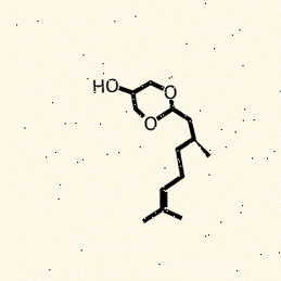 CC(C)=CCC[C@H](C)CC1OCC(O)CO1